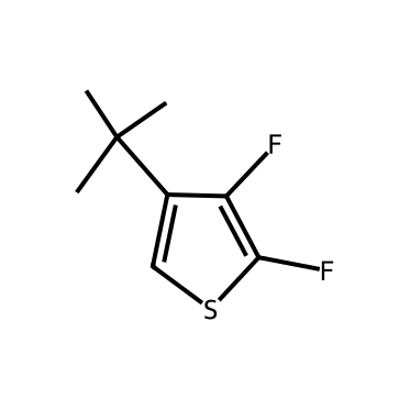 CC(C)(C)c1csc(F)c1F